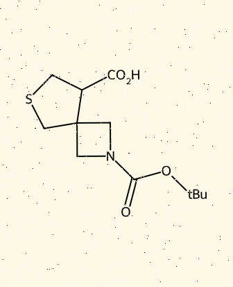 CC(C)(C)OC(=O)N1CC2(CSCC2C(=O)O)C1